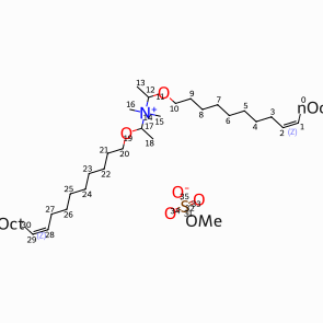 CCCCCCCC/C=C\CCCCCCCCOC(C)[N+](C)(C)C(C)OCCCCCCCC/C=C\CCCCCCCC.COS(=O)(=O)[O-]